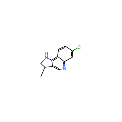 CC1CNc2c1cnc1cc(Cl)ccc21